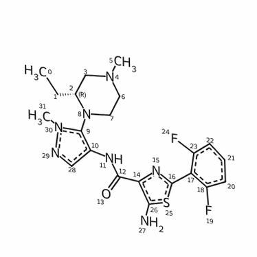 CC[C@@H]1CN(C)CCN1c1c(NC(=O)c2nc(-c3c(F)cccc3F)sc2N)cnn1C